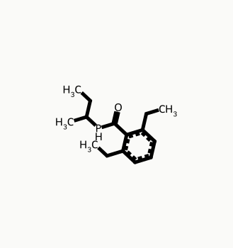 CCc1cccc(CC)c1C(=O)PC(C)CC